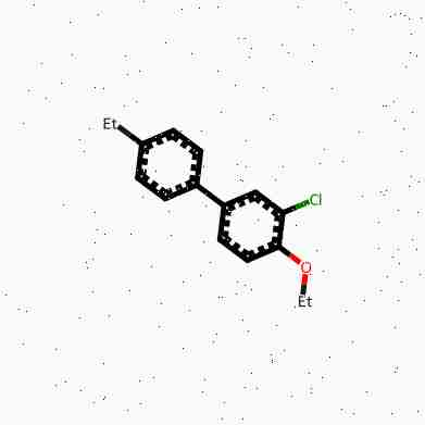 CCOc1ccc(-c2ccc(CC)cc2)cc1Cl